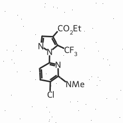 CCOC(=O)c1cnn(-c2ccc(Cl)c(NC)n2)c1C(F)(F)F